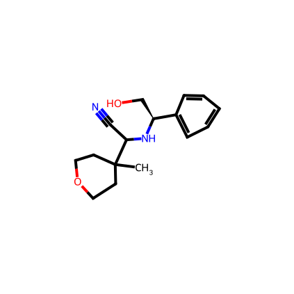 CC1(C(C#N)N[C@@H](CO)c2ccccc2)CCOCC1